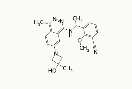 COc1c(C#N)cccc1[C@@H](C)Nc1nnc(C)c2ccc(N3CC(C)(O)C3)cc12